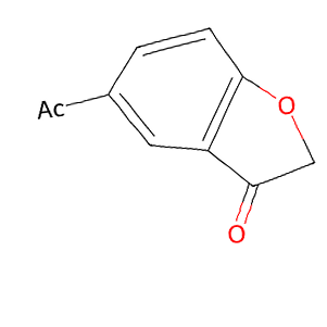 CC(=O)c1ccc2c(c1)C(=O)CO2